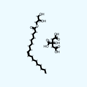 CCCCCCCC/C=C\CCCCCCCC(=O)OCC(O)CO.O=C(O)CC(O)(CC(=O)O)C(=O)O